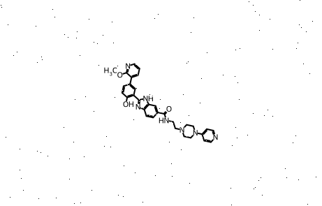 COc1ncccc1-c1ccc(O)c(-c2nc3ccc(C(=O)NCCN4CCN(c5ccncc5)CC4)cc3[nH]2)c1